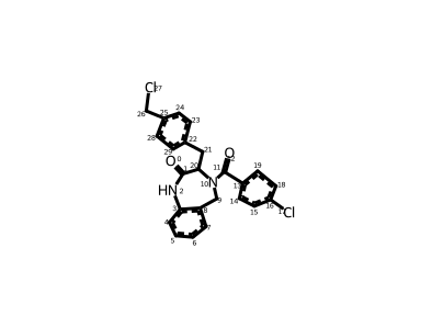 O=C1Nc2ccccc2CN(C(=O)c2ccc(Cl)cc2)C1Cc1ccc(CCl)cc1